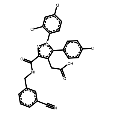 N#Cc1cccc(CNC(=O)c2nn(-c3ccc(Cl)cc3Cl)c(-c3ccc(Cl)cc3)c2CC(=O)O)c1